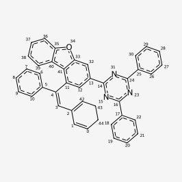 C1=CC(/C=C(/c2ccccc2)c2cc(-c3nc(-c4ccccc4)nc(-c4ccccc4)n3)cc3oc4ccccc4c23)=CCC1